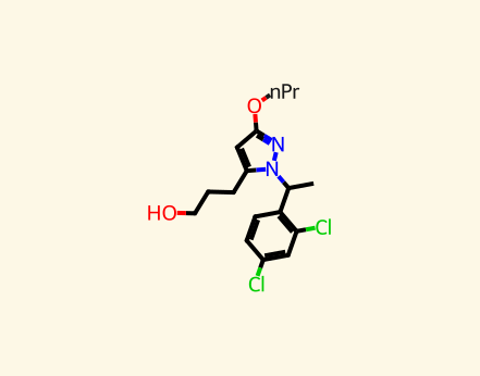 CCCOc1cc(CCCO)n(C(C)c2ccc(Cl)cc2Cl)n1